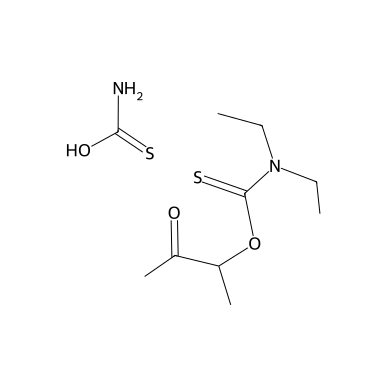 CCN(CC)C(=S)OC(C)C(C)=O.NC(O)=S